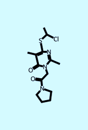 Cc1c(SC(C)Cl)nc(C)n(CC(=O)N2CCCC2)c1=O